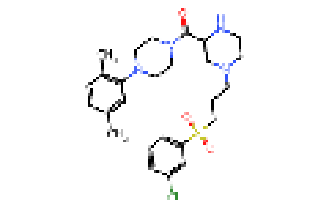 Cc1ccc(C)c(N2CCN(C(=O)C3CN(CCCS(=O)(=O)c4cccc(Cl)c4)CCN3)CC2)c1